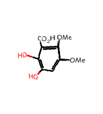 COc1cc(O)c(O)c(C(=O)O)c1OC